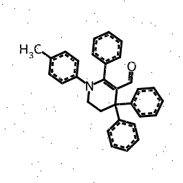 Cc1ccc(N2CCC(c3ccccc3)(c3ccccc3)C(C=O)=C2c2ccccc2)cc1